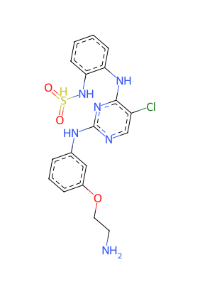 NCCOc1cccc(Nc2ncc(Cl)c(Nc3ccccc3N[SH](=O)=O)n2)c1